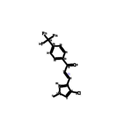 Cn1cc(Cl)c(/C=C/C(=O)c2ccc(C(F)(F)F)cc2)n1